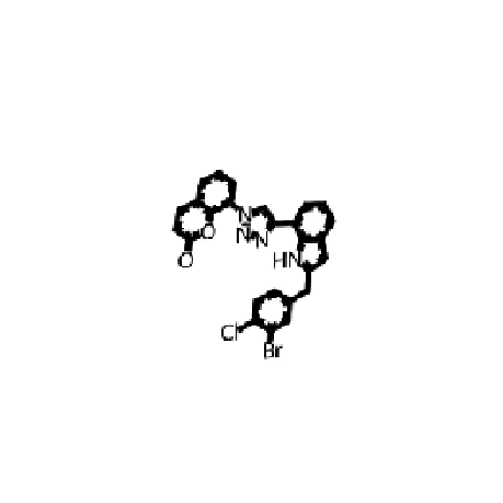 O=c1ccc2cccc(-n3cc(-c4cccc5cc(Cc6ccc(Cl)c(Br)c6)[nH]c45)nn3)c2o1